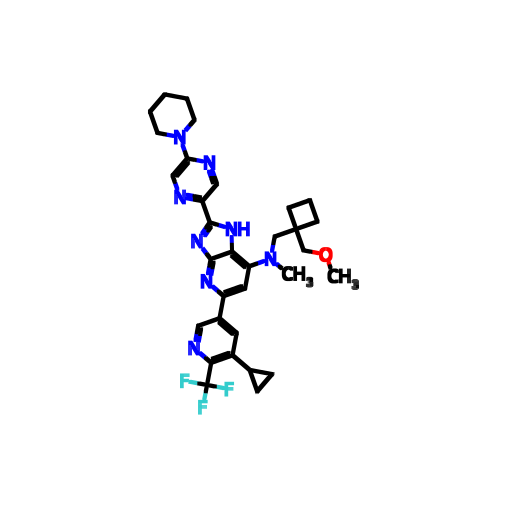 COCC1(CN(C)c2cc(-c3cnc(C(F)(F)F)c(C4CC4)c3)nc3nc(-c4cnc(N5CCCCC5)cn4)[nH]c23)CCC1